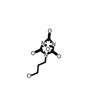 O=c1n(CCCCl)c(=O)n2on1c2=O